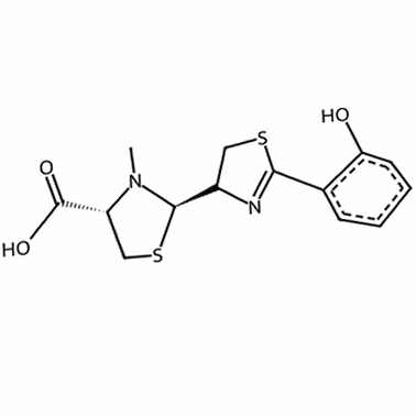 CN1[C@@H](C(=O)O)CS[C@@H]1C1CSC(c2ccccc2O)=N1